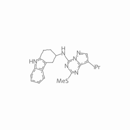 CSc1nc(NC2CCc3[nH]c4ccccc4c3C2)n2ncc(C(C)C)c2n1